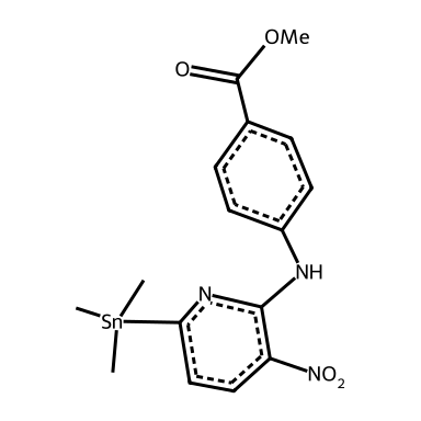 COC(=O)c1ccc(Nc2n[c]([Sn]([CH3])([CH3])[CH3])ccc2[N+](=O)[O-])cc1